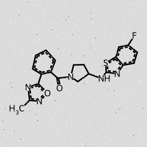 Cc1noc(-c2ccccc2C(=O)N2CCC(Nc3nc4ccc(F)cc4s3)C2)n1